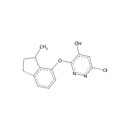 CC1CCc2cccc(Oc3nnc(Cl)cc3O)c21